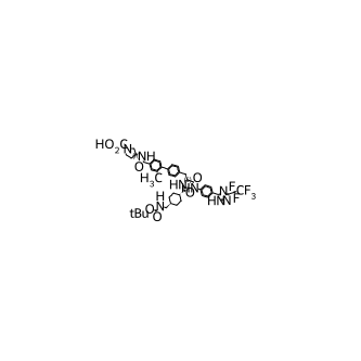 Cc1cc(C(=O)N[C@@H]2CCN(C(=O)O)C2)ccc1-c1ccc(C[C@H](NC(=O)[C@H]2CC[C@H](CNC(=O)OC(C)(C)C)CC2)C(=O)Nc2ccc(-c3nc(C(F)(F)C(F)(F)F)n[nH]3)cc2)cc1